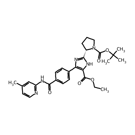 CCOC(=O)c1[nH]c([C@@H]2CCCN2C(=O)OC(C)(C)C)nc1-c1ccc(C(=O)Nc2cc(C)ccn2)cc1